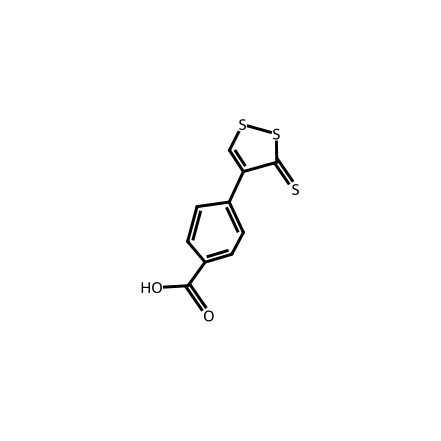 O=C(O)c1ccc(-c2cssc2=S)cc1